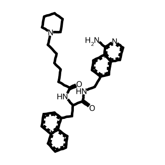 Nc1nccc2cc(CNC(=O)C(Cc3cccc4ccccc34)NC(=O)CCCCCN3CCCCC3)ccc12